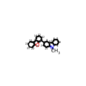 Cn1c2ccccc2c2cc(-c3cccc4c5c(oc34)=CCCC=5)ccc21